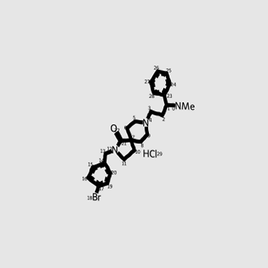 CNC(CCN1CCC2(CC1)CCN(Cc1ccc(Br)cc1)C2=O)c1ccccc1.Cl